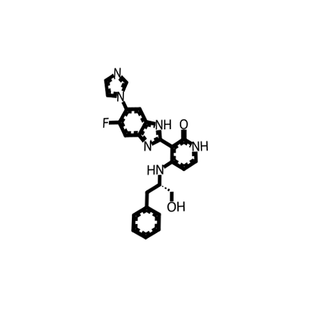 O=c1[nH]ccc(N[C@H](CO)Cc2ccccc2)c1-c1nc2cc(F)c(-n3ccnc3)cc2[nH]1